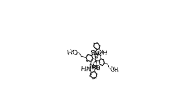 O=S(=O)(c1c(O)cc(CCO)cc1N1Nc2ccccc2N1)c1c(O)cc(CCO)cc1N1Nc2ccccc2N1